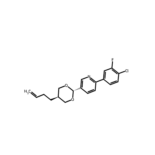 C=CCC[C@H]1CO[C@H](c2ccc(-c3ccc(Cl)c(F)c3)nc2)OC1